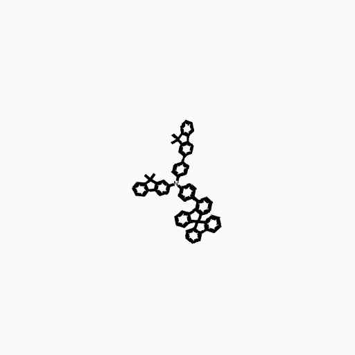 CC1(C)c2ccccc2-c2ccc(-c3ccc(N(c4ccc(-c5cccc6c5-c5ccccc5C65c6ccccc6-c6ccccc65)cc4)c4ccc5c(c4)C(C)(C)c4ccccc4-5)cc3)cc21